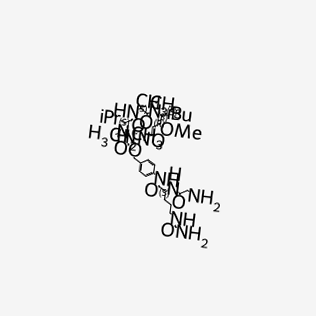 CC[C@H](C)[C@@H]([C@@H](CC(N)=O)OC)N(C)C(=O)[C@H](C)NC(=O)[C@H](C(C)C)N(C)N(C)C(=O)OCc1ccc(NC(=O)[C@H](CCCNC(N)=O)NC(=O)CN)cc1